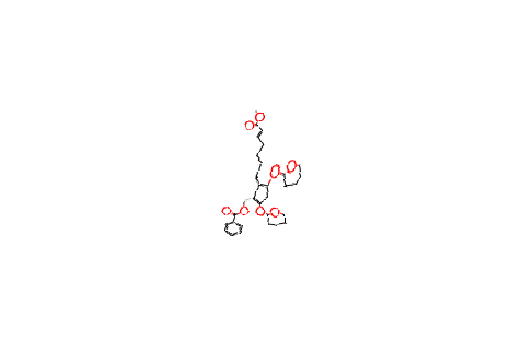 COC(=O)/C=C/CCCC[C@@H]1[C@@H](COC(=O)c2ccccc2)[C@H](OC2CCCCO2)C[C@@H]1OC1CCCCO1